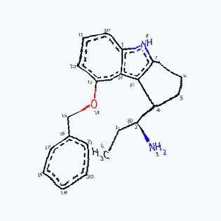 C[CH][C@H](N)C1CCc2[nH]c3cccc(OCc4ccccc4)c3c21